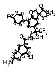 NC(=O)[C@@]1(CF)COc2c1cc(C(O)(CNC(=O)c1cc(Cl)c3nc(N)sc3c1)C(F)(F)F)nc2-c1ccc(F)cc1